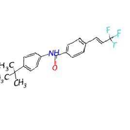 CC(C)(C)c1ccc(NC(=O)c2ccc(/C=C/C(F)(F)F)cc2)cc1